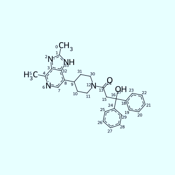 Cc1nc2c(C)ncc(C3CCN(C(=O)CC(O)(c4ccccc4)c4ccccc4)CC3)c2[nH]1